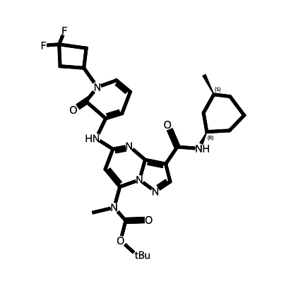 C[C@H]1CCC[C@@H](NC(=O)c2cnn3c(N(C)C(=O)OC(C)(C)C)cc(Nc4cccn(C5CC(F)(F)C5)c4=O)nc23)C1